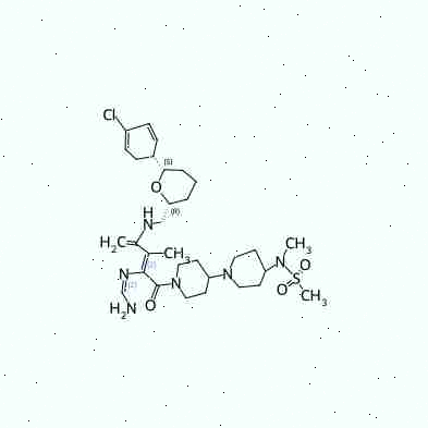 C=C(NC[C@H]1CCC[C@@H](C2C=CC(Cl)=CC2)O1)/C(C)=C(\N=C/N)C(=O)N1CCC(N2CCC(N(C)S(C)(=O)=O)CC2)CC1